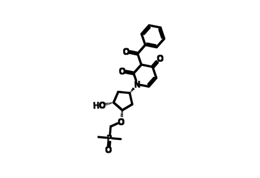 CP(C)(=O)CO[C@H]1C[C@@H](N2C=CC(=O)C(C(=O)c3ccccc3)C2=O)C[C@H]1O